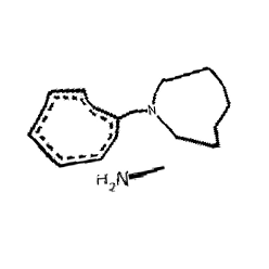 CN.c1ccc(N2CCCCC2)cc1